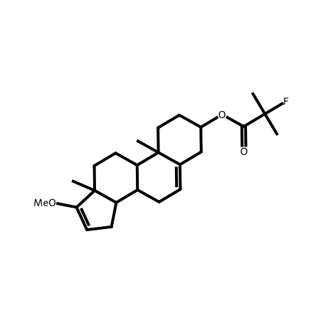 COC1=CCC2C3CC=C4CC(OC(=O)C(C)(C)F)CCC4(C)C3CCC12C